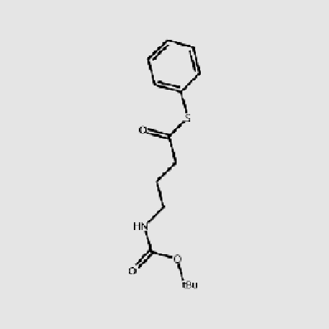 CC(C)(C)OC(=O)NCCCC(=O)Sc1ccccc1